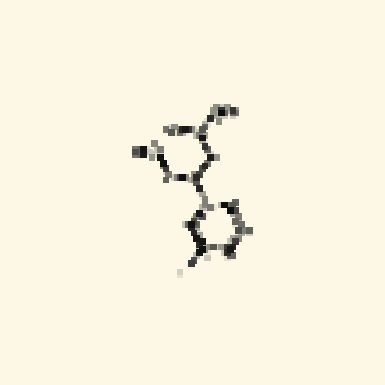 COC(=O)CC(CC(=O)O)c1cccc(F)c1